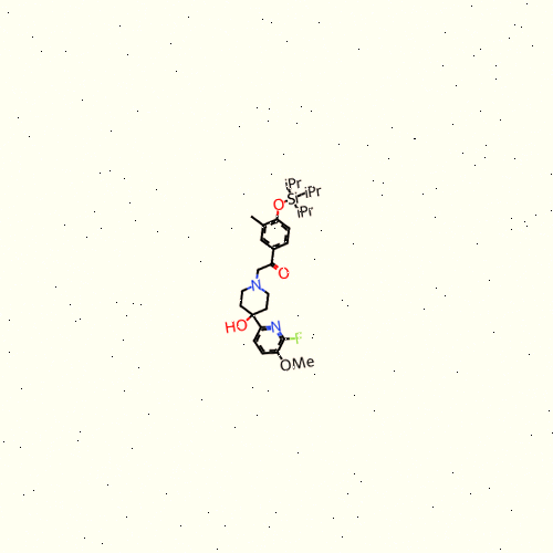 COc1ccc(C2(O)CCN(CC(=O)c3ccc(O[Si](C(C)C)(C(C)C)C(C)C)c(C)c3)CC2)nc1F